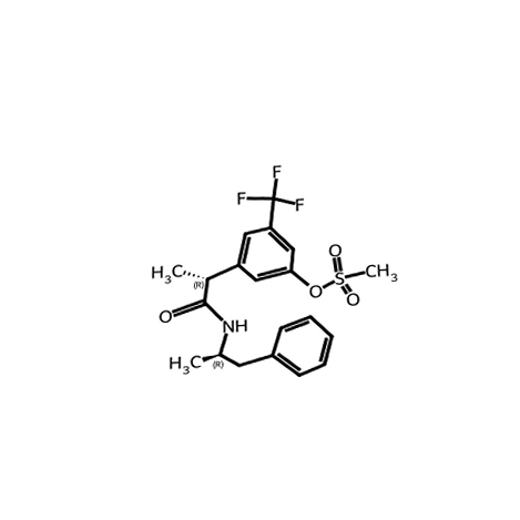 C[C@H](Cc1ccccc1)NC(=O)[C@H](C)c1cc(OS(C)(=O)=O)cc(C(F)(F)F)c1